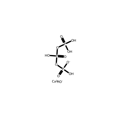 O=P([O-])(O)OP(=O)(O)OP(=O)(O)O.[Ca+2].[OH-]